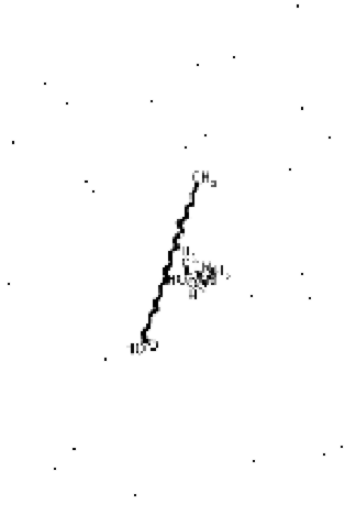 CCCCCCCCCCCCCCCCCCCCCC(=O)O.CCO.CCO.NN=O